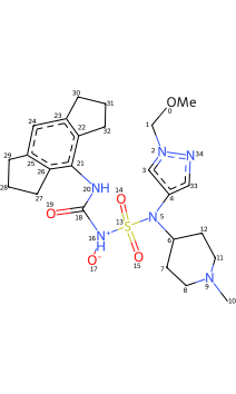 COCn1cc(N(C2CCN(C)CC2)S(=O)(=O)[NH+]([O-])C(=O)Nc2c3c(cc4c2CCC4)CCC3)cn1